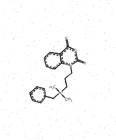 C[N+](C)(CCCn1c(=O)oc(=O)c2ccccc21)Cc1ccccc1